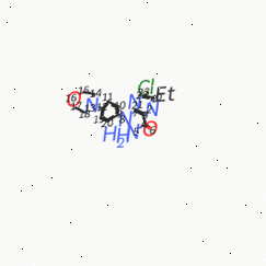 CCc1nc(C(N)=O)c(Nc2ccc(N3CCOCC3)cc2)nc1Cl